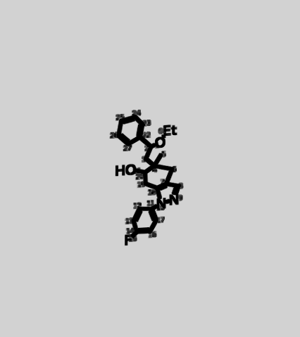 CCOC(CC1(C)Cc2cnn(-c3ccc(F)cc3)c2CC1O)c1ccccc1